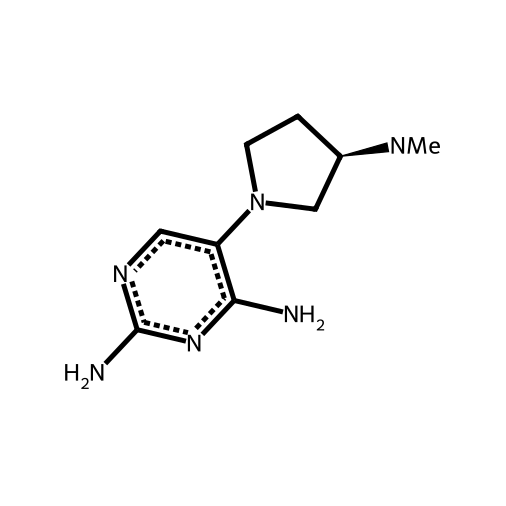 CN[C@@H]1CCN(c2cnc(N)nc2N)C1